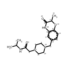 CC(C)NC(=O)CN1CCN(Cc2ccc3c(c2)NC(=O)C(C)O3)CC1